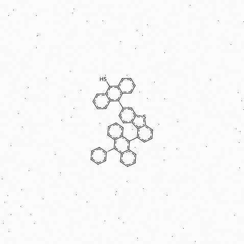 Sc1c2ccccc2c(-c2ccc3c(c2)sc2cccc(-c4c5ccccc5c(-c5ccccc5)c5ccccc45)c23)c2ccccc12